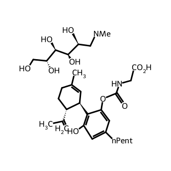 C=C(C)[C@@H]1CCC(C)=C[C@H]1c1c(O)cc(CCCCC)cc1OC(=O)NCC(=O)O.CNC[C@H](O)[C@@H](O)[C@H](O)[C@H](O)CO